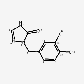 O=c1[nH]cnn1Cc1ccc(Cl)c(Cl)c1